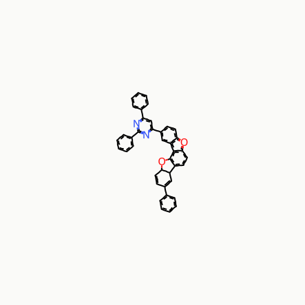 C1=CC2Oc3c(ccc4oc5ccc(-c6cc(-c7ccccc7)nc(-c7ccccc7)n6)cc5c34)C2C=C1c1ccccc1